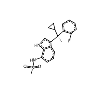 C[C@](c1ccccc1F)(c1c[nH]c2c(NS(C)(=O)=O)cccc12)C1CC1